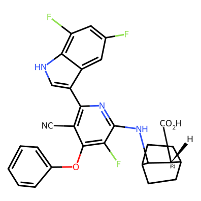 N#Cc1c(-c2c[nH]c3c(F)cc(F)cc23)nc(NC2C3CCC(CC3)[C@H]2C(=O)O)c(F)c1Oc1ccccc1